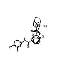 O=C(Nc1ccc(F)c(F)c1)c1ccc(Cl)c(S(=O)(=O)C2CC3CCC(C2)C3(O)C(O)C(O)CN2CCCS2(=O)=O)c1